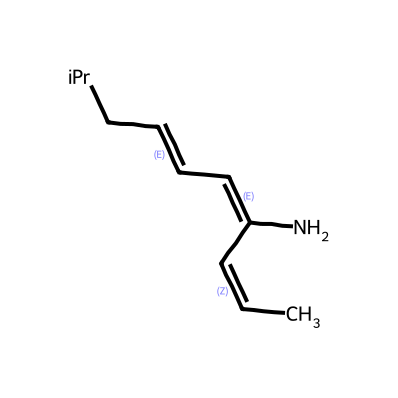 C\C=C/C(N)=C\C=C\CC(C)C